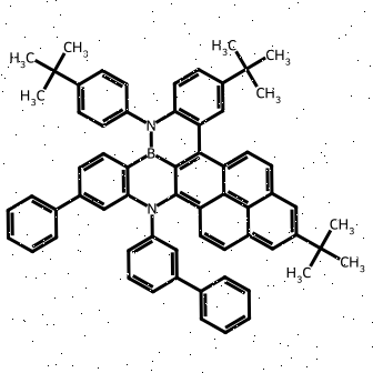 CC(C)(C)c1ccc(N2B3c4ccc(-c5ccccc5)cc4N(c4cccc(-c5ccccc5)c4)c4c3c(c3ccc5cc(C(C)(C)C)cc6ccc4c3c56)-c3cc(C(C)(C)C)ccc32)cc1